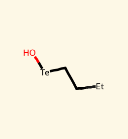 CCCC[Te]O